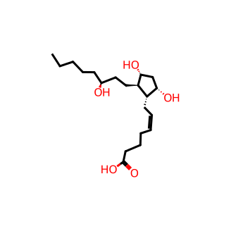 CCCCC[C@H](O)CC[C@@H]1[C@@H](C/C=C\CCCC(=O)O)[C@@H](O)C[C@H]1O